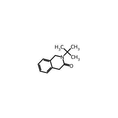 CC(C)(C)N1Cc2ccccc2CC1=O